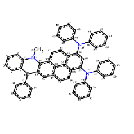 CN1c2ccccc2B(c2ccccc2)c2cc3ccc4c(N(c5ccccc5)c5ccccc5)cc(N(c5ccccc5)c5ccccc5)c5ccc(c21)c3c45